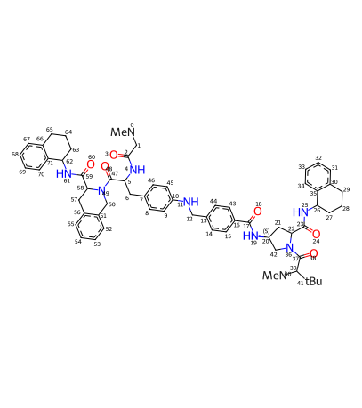 CNCC(=O)NC(Cc1ccc(NCc2ccc(C(=O)N[C@H]3CC(C(=O)NC4CCCc5ccccc54)N(C(=O)C(NC)C(C)(C)C)C3)cc2)cc1)C(=O)N1Cc2ccccc2CC1C(=O)NC1CCCc2ccccc21